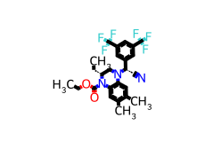 CCOC(=O)N1c2cc(C)c(C)cc2N([C@@H](C#N)c2cc(C(F)(F)F)cc(C(F)(F)F)c2)C[C@H]1CC